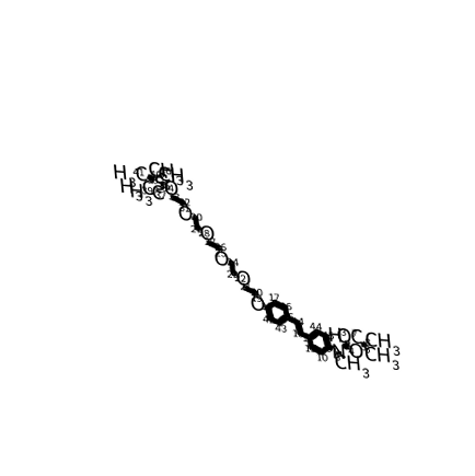 CN(C(=O)OC(C)(C)C)c1ccc(C=Cc2ccc(OCCOCCOCCOCCOCCO[Si](C)(C)C(C)(C)C)cc2)cc1